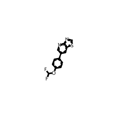 FC(F)Oc1ccc(-c2cnc3ncsc3c2)cc1